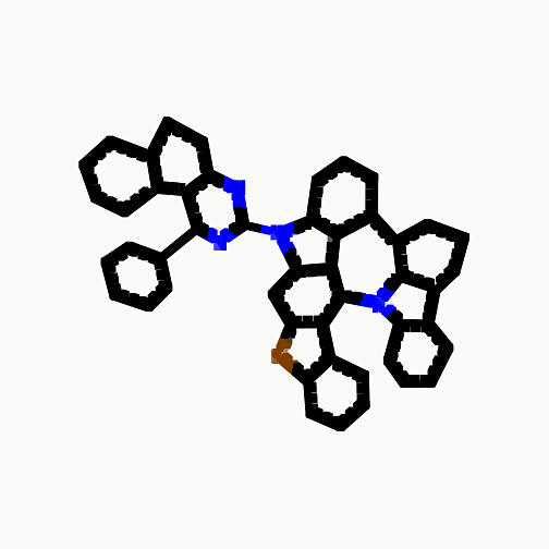 c1ccc(-c2nc(-n3c4cccc5c6cccc7c8ccccc8n(c67)c6c7c(cc3c6c54)sc3ccccc37)nc3ccc4ccccc4c23)cc1